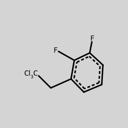 Fc1cccc(CC(Cl)(Cl)Cl)c1F